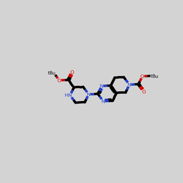 CC(C)(C)OC(=O)C1CN(c2ncc3c(n2)CCN(C(=O)OC(C)(C)C)C3)CCN1